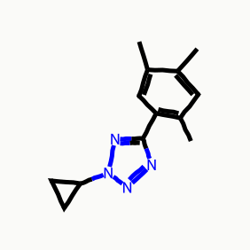 Cc1cc(C)c(-c2nnn(C3CC3)n2)cc1C